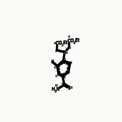 CCOC(=O)CN(CC(=O)OCC)c1ccc(C(N)=S)cc1C